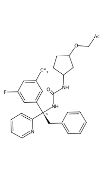 CC(=O)COC1CCC(NC(=O)N[C@@](Cc2ccccc2)(c2cc(F)cc(C(F)(F)F)c2)c2ccccn2)C1